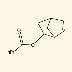 CCCC(=O)OC1CC2C=CC1C2